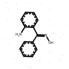 Nc1ccccc1C(=NO)c1ccccc1